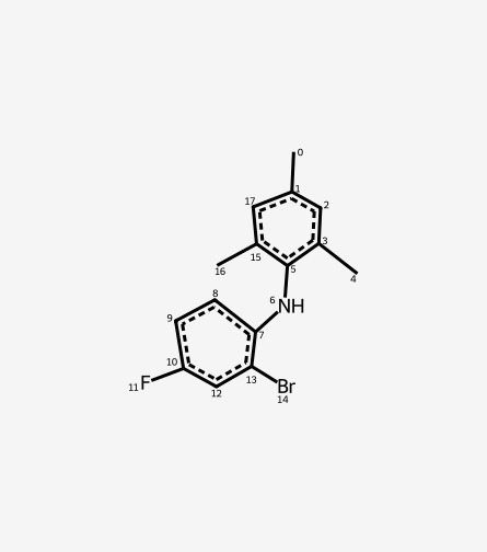 Cc1cc(C)c(Nc2ccc(F)cc2Br)c(C)c1